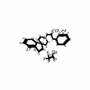 O=C(O)C(Cc1ccccc1)CN1CCC2(CCc3ccccc32)CC1.O=C(O)C(F)(F)F